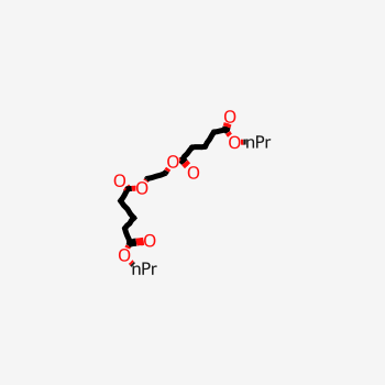 CCCOC(=O)CCCC(=O)OCCOC(=O)CCCC(=O)OCCC